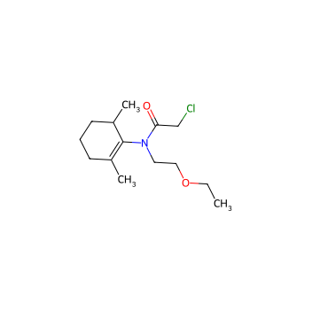 CCOCCN(C(=O)CCl)C1=C(C)CCCC1C